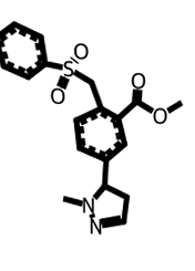 COC(=O)c1cc(C2CC=NN2C)ccc1CS(=O)(=O)c1ccccc1